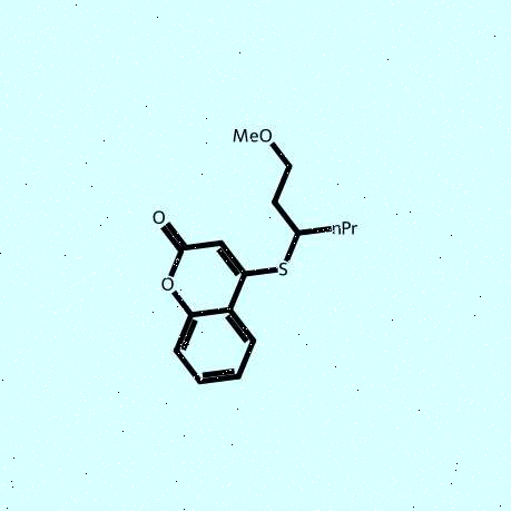 CCCC(CCOC)Sc1cc(=O)oc2ccccc12